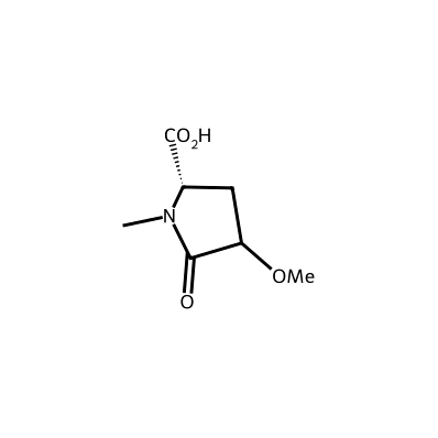 COC1C[C@@H](C(=O)O)N(C)C1=O